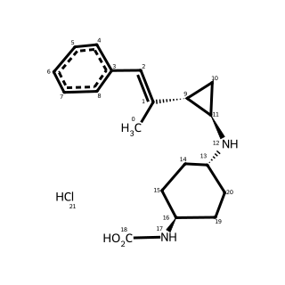 C/C(=C\c1ccccc1)[C@@H]1C[C@H]1N[C@H]1CC[C@H](NC(=O)O)CC1.Cl